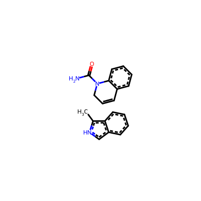 Cc1[nH]cc2ccccc12.NC(=O)N1CC=Cc2ccccc21